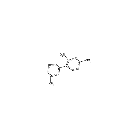 Cc1cc[c]c(-c2ccc([N+](=O)[O-])cc2[N+](=O)[O-])c1